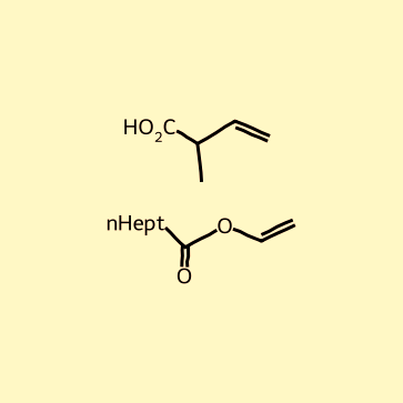 C=CC(C)C(=O)O.C=COC(=O)CCCCCCC